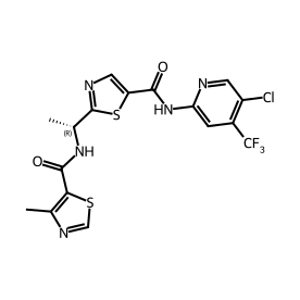 Cc1ncsc1C(=O)N[C@H](C)c1ncc(C(=O)Nc2cc(C(F)(F)F)c(Cl)cn2)s1